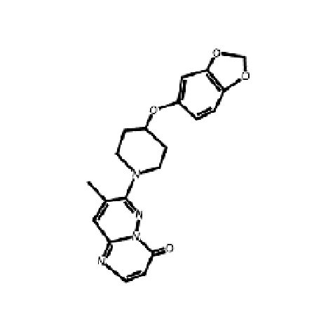 Cc1cc2nccc(=O)n2nc1N1CCC(Oc2ccc3c(c2)OCO3)CC1